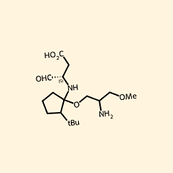 COCC(N)COC1(N[C@H](C=O)CC(=O)O)CCCC1C(C)(C)C